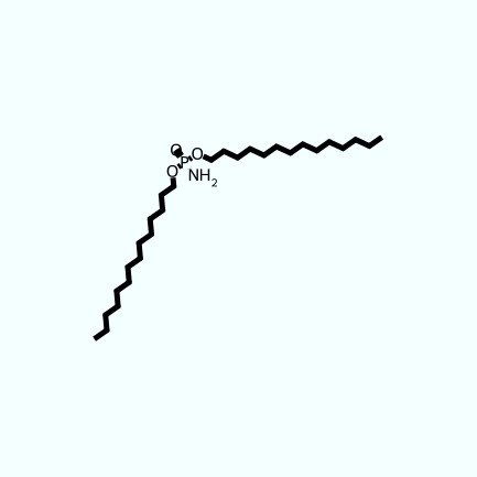 CCCCCCCCCCCCCCOP(N)(=O)OCCCCCCCCCCCCCC